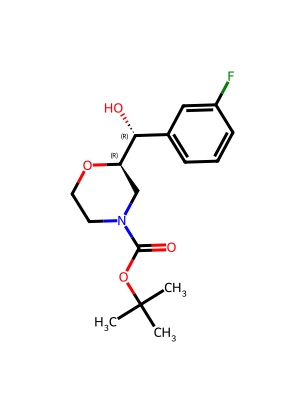 CC(C)(C)OC(=O)N1CCO[C@@H]([C@H](O)c2cccc(F)c2)C1